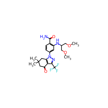 COCC(COC)Nc1cc(-n2nc(C(F)(F)F)c3c2CC(C)(C)CC3=O)ccc1C(N)=O